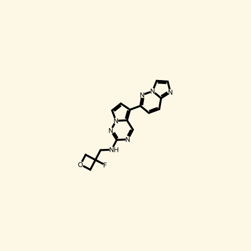 FC1(CNc2ncc3c(-c4ccc5nccn5n4)ccn3n2)COC1